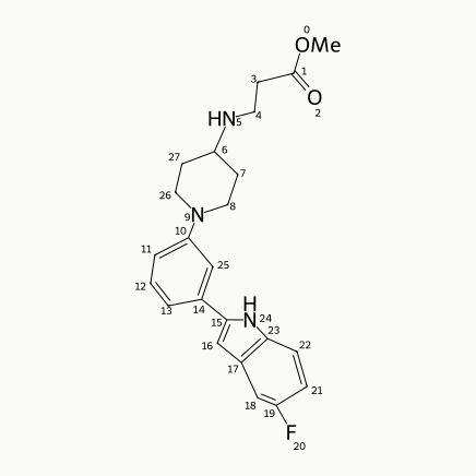 COC(=O)CCNC1CCN(c2cccc(-c3cc4cc(F)ccc4[nH]3)c2)CC1